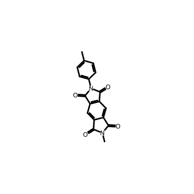 Cc1ccc(-n2c(=O)c3cc4c(=O)n(C)c(=O)c4cc3c2=O)cc1